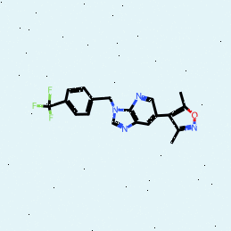 Cc1noc(C)c1-c1cnc2c(c1)ncn2Cc1ccc(C(F)(F)F)cc1